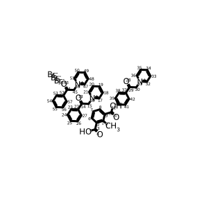 Cc1c(C(=O)O)cccc1C(=O)O.O=C(C[n+]1ccccc1)c1ccccc1.O=C(C[n+]1ccccc1)c1ccccc1.O=C(C[n+]1ccccc1)c1ccccc1.[Br-].[Br-].[Br-]